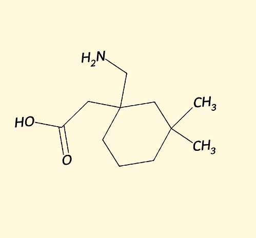 CC1(C)CCCC(CN)(CC(=O)O)C1